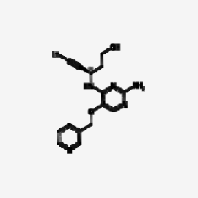 CCC#C[C@@H](CCO)Nc1nc(N)ncc1OCc1cccnc1